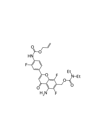 C=CCOC(=O)Nc1ccc(-c2cc(=O)c3c(N)c(F)c(COC(=O)N(CC)CC)c(F)c3o2)cc1F